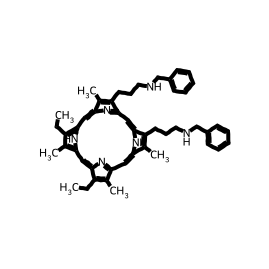 CCC1=C(C)c2cc3[nH]c(cc4nc(cc5[nH]c(cc1n2)c(C)c5CC)C(C)=C4CCCNCc1ccccc1)c(CCCNCc1ccccc1)c3C